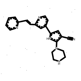 N#Cc1cc(-c2ccnc(/C=C/c3ccccn3)c2)[nH]c1N1CCNCC1